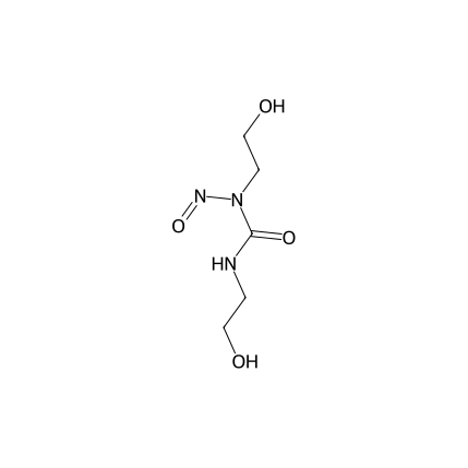 O=NN(CCO)C(=O)NCCO